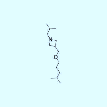 CC(C)CCCOCC1CN(CC(C)C)C1